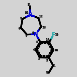 CCc1ccc(N2CCCN(C)CC2)c(F)c1